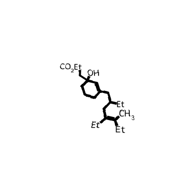 CCOC(=O)CC1(O)C=C(CC(CC)CC(CC)=C(C)CC)CCC1